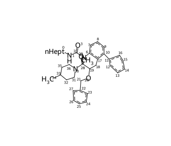 CCCCCCCNC(=O)N(C)c1cccc(-c2ccccc2)c1CC(OCc1ccccc1)C(=O)N1CCC(C)CC1